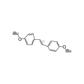 CCC(C)Oc1ccc(/C=C/c2ccc(OC(C)CC)cc2)cc1